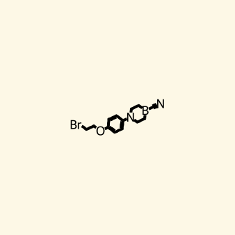 N#CB1CCN(c2ccc(OCCBr)cc2)CC1